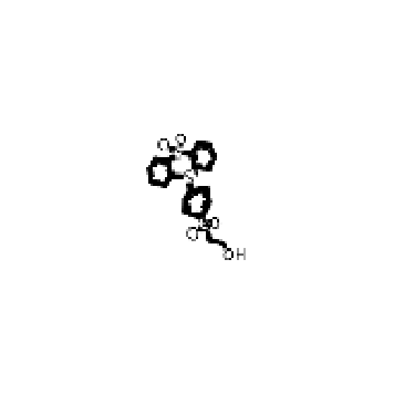 O=S(=O)(CCO)c1ccc([S+]2c3ccccc3S(=O)(=O)c3ccccc32)cc1